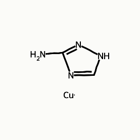 Nc1nc[nH]n1.[Cu]